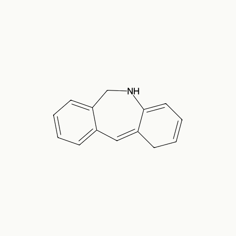 C1=CCC2=Cc3ccccc3CNC2=C1